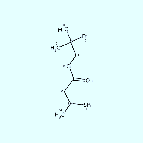 CCC(C)(C)COC(=O)CC(C)S